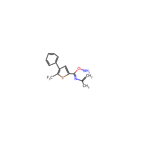 C=C(C)/N=C(\ON)c1cc(-c2ccccc2)c(C(F)(F)F)s1